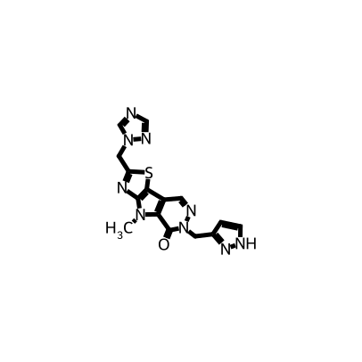 Cn1c2nc(Cn3cncn3)sc2c2cnn(Cc3cc[nH]n3)c(=O)c21